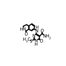 CSc1nc(Nc2ccc3c(c2)C(=O)NCC3)c(C(N)=O)c(=O)[nH]1